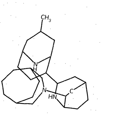 CC1CC2CCC(C3CC4CCC(N3)C(N3CC5CCCC(CC5)C3)C4)C(C1)N2